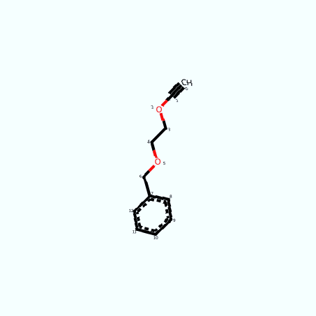 C#COCCOCc1ccccc1